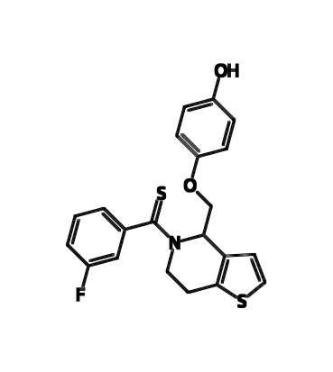 Oc1ccc(OCC2c3ccsc3CCN2C(=S)c2cccc(F)c2)cc1